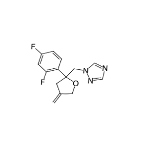 C=C1COC(Cn2cncn2)(c2ccc(F)cc2F)C1